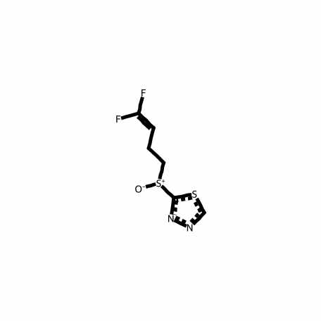 [O-][S+](CCC=C(F)F)c1nncs1